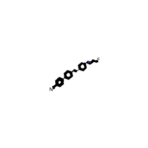 N#Cc1ccc([C@H]2CC[C@H](CC[C@H]3CC[C@H](/C=C/CCF)CC3)CC2)cc1